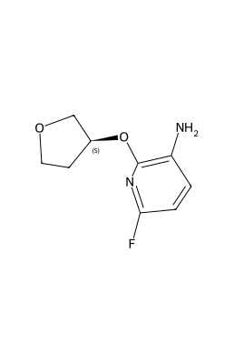 Nc1ccc(F)nc1O[C@H]1CCOC1